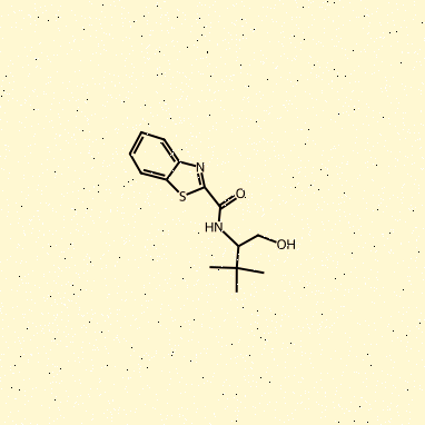 CC(C)(C)C(CO)NC(=O)c1nc2ccccc2s1